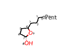 CCCCCCCCC1CC[C@@H](O)O1